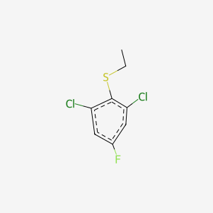 CCSc1c(Cl)cc(F)cc1Cl